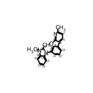 Cc1ccc2c(n1)oc1c(N3c4ccccc4N(C)C3C)cccc12